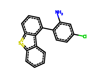 Nc1cc(Cl)ccc1-c1cccc2sc3ccccc3c12